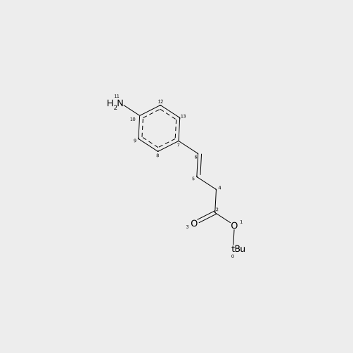 CC(C)(C)OC(=O)C/C=C/c1ccc(N)cc1